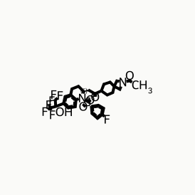 CC(=O)N1CC2(CCC(C(=O)C[C@@H]3CCc4cc(C(O)(C(F)(F)F)C(F)(F)F)ccc4N3S(=O)(=O)c3ccc(F)cc3)CC2)C1